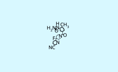 Cc1ccc(C(=O)N2CCC(F)(c3ccc(C#N)cn3)CC2)cc1NC(N)=O